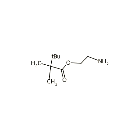 CC(C)(C)C(C)(C)C(=O)OCCN